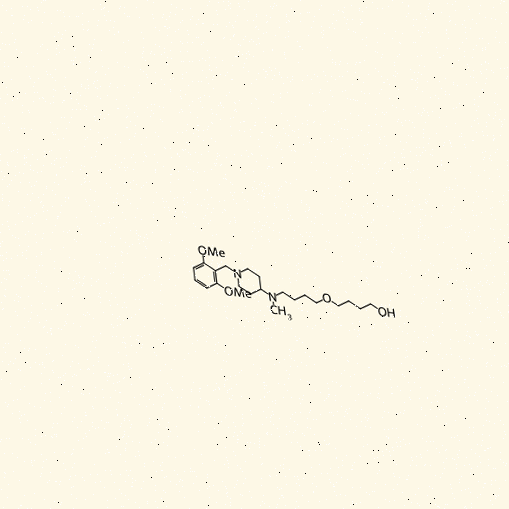 COc1cccc(OC)c1CN1CCC(N(C)CCCCOCCCCO)CC1